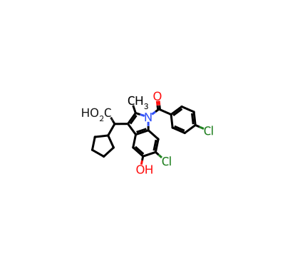 Cc1c(C(C(=O)O)C2CCCC2)c2cc(O)c(Cl)cc2n1C(=O)c1ccc(Cl)cc1